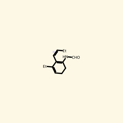 CC/C=C\C1=C(NC=O)CCC=C1CC